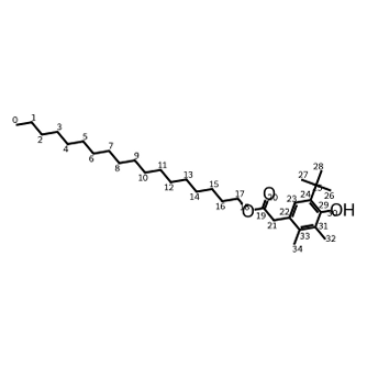 CCCCCCCCCCCCCCCCCCOC(=O)Cc1cc(C(C)(C)C)c(O)c(C)c1C